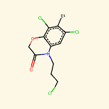 CCc1c(Cl)cc2c(c1Cl)OCC(=O)N2CCCCl